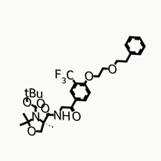 CC(C)(C)OC(=O)N1C(C)(C)OC[C@]1(C)C(=O)NCC(=O)c1ccc(OCCOCCc2ccccc2)c(C(F)(F)F)c1